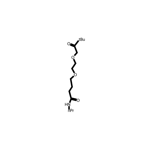 CCCNC(=O)CCCOCCOCC(=O)C(C)(C)C